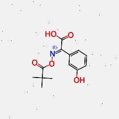 CC(C)(C)C(=O)O/N=C(/C(=O)O)c1cccc(O)c1